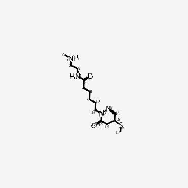 CNCCNC(=O)CCCCCN1N=CC(SC)CC1=O